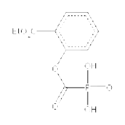 CCOC(=O)c1ccccc1OC(=O)P(=O)(O)O